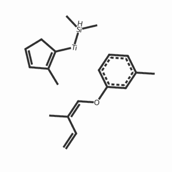 C=CC(C)=COc1cccc(C)c1.CC1=[C]([Ti][SiH](C)C)CC=C1